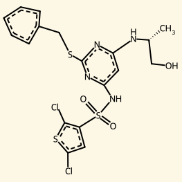 C[C@H](CO)Nc1cc(NS(=O)(=O)c2cc(Cl)sc2Cl)nc(SCc2ccccc2)n1